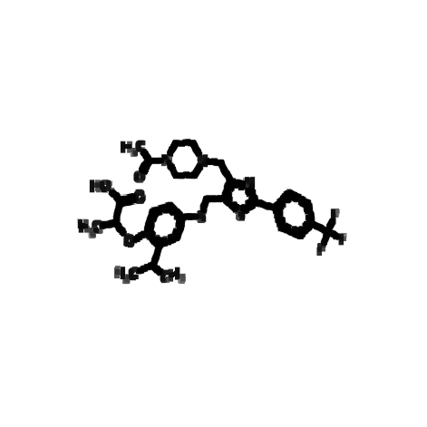 CC(=O)N1CCN(Cc2nc(-c3ccc(C(F)(F)F)cc3)sc2CSc2ccc(OC(C)C(=O)O)c(C(C)C)c2)CC1